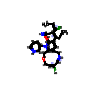 C/C=C(F)\C(C#N)=C(/CC)c1cc2c(n(-c3cccnc3)c1=O)COC/C=C(F)\C=N/C2